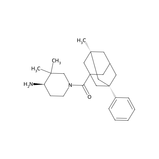 CC1(C)CN(C(=O)C23CC4C[C@](C)(C2)C[C@@](c2ccccc2)(C4)C3)CC[C@H]1N